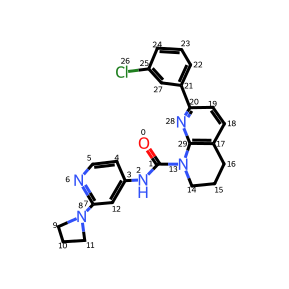 O=C(Nc1ccnc(N2CCC2)c1)N1CCCc2ccc(-c3cccc(Cl)c3)nc21